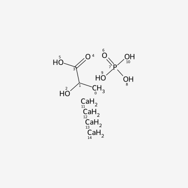 CC(O)C(=O)O.O=P(O)(O)O.[CaH2].[CaH2].[CaH2].[CaH2]